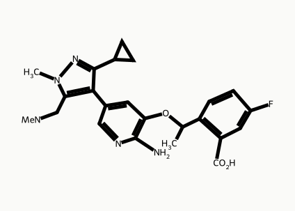 CNCc1c(-c2cnc(N)c(OC(C)c3ccc(F)cc3C(=O)O)c2)c(C2CC2)nn1C